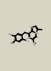 Cc1cnc2c(Cc3cc(F)c(Cl)cc3F)nc(C#N)cn12